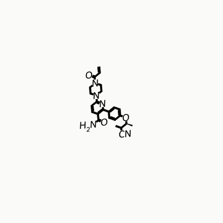 C=CC(=O)N1CCN(c2ccc(C(N)=O)c(-c3ccc(O[C@@H](C)C(C)C#N)cc3)n2)CC1